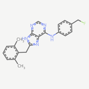 Cc1cccc(C)c1Cc1nc2c(Nc3ccc(CF)cc3)ncnc2[nH]1